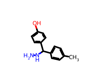 Cc1ccc(C(NN)c2ccc(O)cc2)cc1